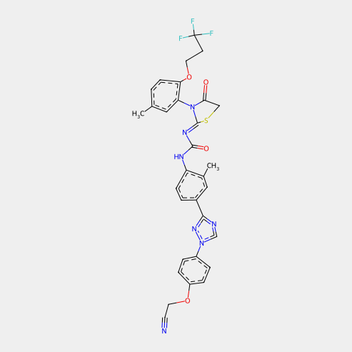 Cc1ccc(OCCC(F)(F)F)c(N2C(=O)CS/C2=N\C(=O)Nc2ccc(-c3ncn(-c4ccc(OCC#N)cc4)n3)cc2C)c1